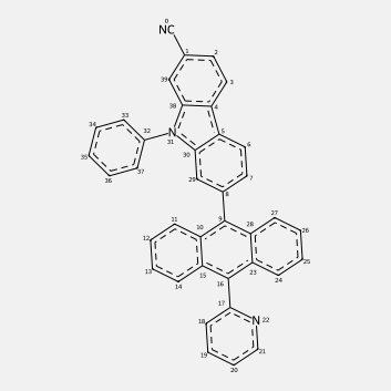 N#Cc1ccc2c3ccc(-c4c5ccccc5c(-c5ccccn5)c5ccccc45)cc3n(-c3ccccc3)c2c1